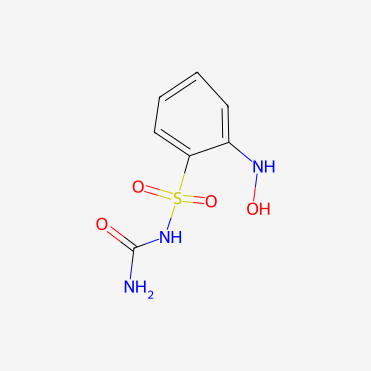 NC(=O)NS(=O)(=O)c1ccccc1NO